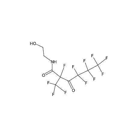 O=C(NCCO)C(F)(C(=O)C(F)(F)C(F)(F)C(F)(F)F)C(F)(F)F